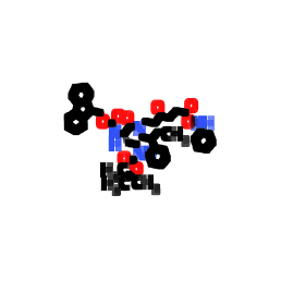 CCC(CN(CCC(=O)CCC(=O)ONc1ccccc1)C(=O)[C@H](CCNC(=O)OC(C)(C)C)NC(=O)OCC1c2ccccc2-c2ccccc21)c1ccccc1